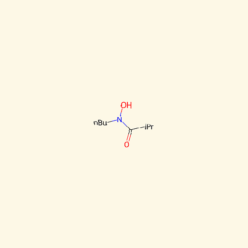 CCCCN(O)C(=O)C(C)C